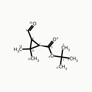 CC(C)(C)OC(=O)[C@@H]1C(C=O)C1(C)C